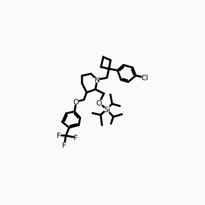 CC(C)[Si](OCC1C(COc2ccc(C(F)(F)F)cc2)CCCN1CC1(c2ccc(Cl)cc2)CCC1)(C(C)C)C(C)C